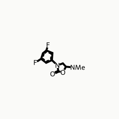 CNC1CN(c2cc(F)cc(F)c2)C(=O)O1